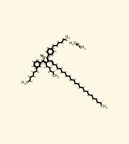 CCCCCCCCCCCCCCCCCCCCCCC=CC1=C(c2ccc(CCCCCC)cc2)[N+](=[N-])C(c2cccc(CCCCCC)c2)=C1CCCCC.[CH3][Ni][CH3]